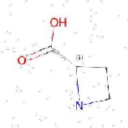 O=C(O)[C@@H]1CC[N]1